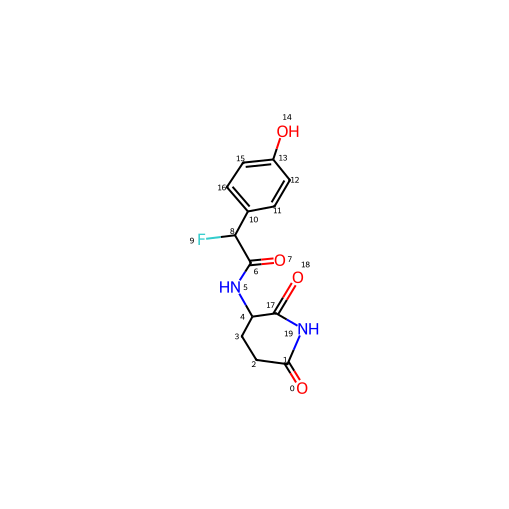 O=C1CCC(NC(=O)C(F)c2ccc(O)cc2)C(=O)N1